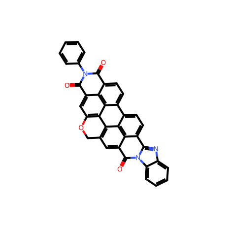 O=C1c2ccc3c4ccc5c6c(cc7c(c8c(cc(c2c38)C(=O)N1c1ccccc1)OC7)c46)c(=O)n1c2ccccc2nc51